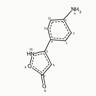 Nc1ccc(-c2cc(=O)o[nH]2)cc1